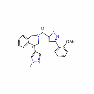 COc1ccccc1-c1cc(C(=O)N2Cc3ccccc3[C@H](c3cnn(C)c3)C2)[nH]n1